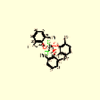 CC(C)c1cccc(C(C)C)c1[O][Nb]([Cl])([Cl])([O]c1c(C(C)C)cccc1C(C)C)[O]c1c(C(C)C)cccc1C(C)C